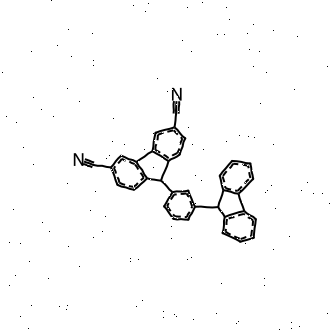 N#Cc1ccc2c(c1)-c1cc(C#N)ccc1C2c1cccc(C2c3ccccc3-c3ccccc32)c1